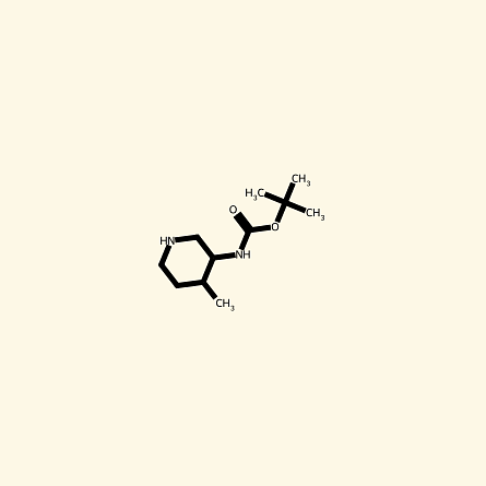 CC1CCNCC1NC(=O)OC(C)(C)C